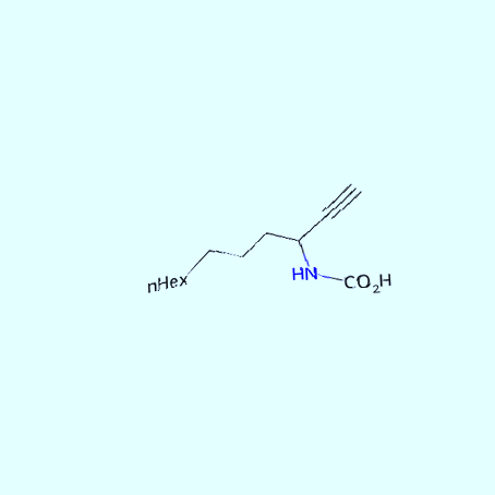 C#CC(CCCCCCCCC)NC(=O)O